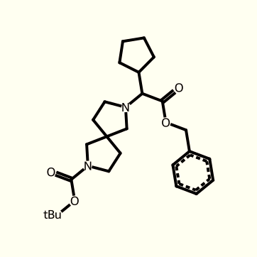 CC(C)(C)OC(=O)N1CCC2(CCN(C(C(=O)OCc3ccccc3)C3CCCC3)C2)C1